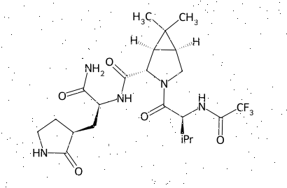 CC(C)[C@H](NC(=O)C(F)(F)F)C(=O)N1C[C@H]2[C@@H]([C@H]1C(=O)N[C@@H](C[C@@H]1CCNC1=O)C(N)=O)C2(C)C